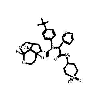 CC(C)(C)c1ccc(N(C(=O)[C@H]2CC3CO[C@H]4OCC[C@@H]2[C@@H]34)C(C(=O)NC2CCS(=O)(=O)CC2)c2cccnc2)cc1